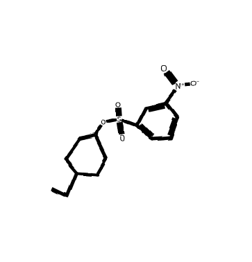 CCC1CCC(OS(=O)(=O)c2cccc([N+](=O)[O-])c2)CC1